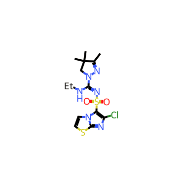 CCN/C(=N\S(=O)(=O)c1c(Cl)nc2sccn12)N1CC(C)(C)C(C)=N1